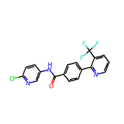 O=C(Nc1ccc(Cl)nc1)c1ccc(-c2ncccc2C(F)(F)F)cc1